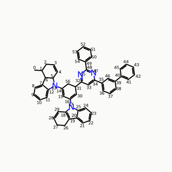 CC1CC=CC2C1c1ccccc1N2C1=CC(n2c3c(c4ccccc42)CCC=C3)=CC(c2cc(-c3cccc(-c4ccccc4)c3)nc(-c3ccccc3)n2)C1